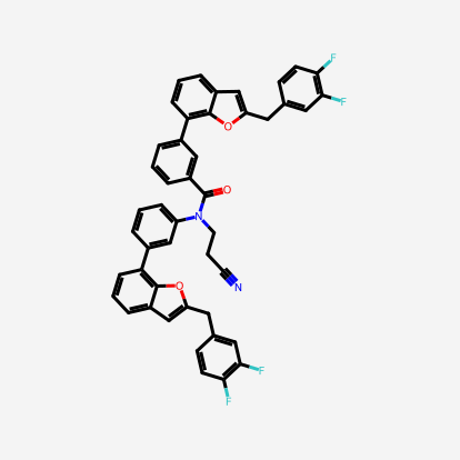 N#CCCN(C(=O)c1cccc(-c2cccc3cc(Cc4ccc(F)c(F)c4)oc23)c1)c1cccc(-c2cccc3cc(Cc4ccc(F)c(F)c4)oc23)c1